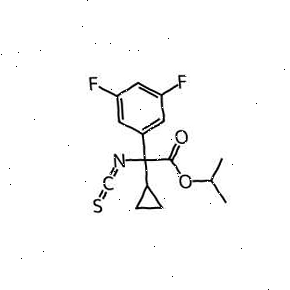 CC(C)OC(=O)C(N=C=S)(c1cc(F)cc(F)c1)C1CC1